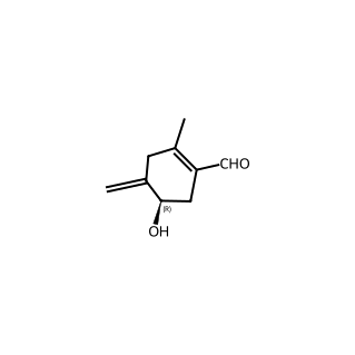 C=C1CC(C)=C(C=O)C[C@H]1O